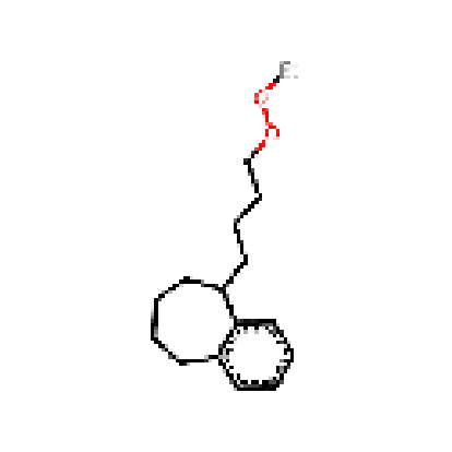 CCOOCCCCC1CCCCc2ccccc21